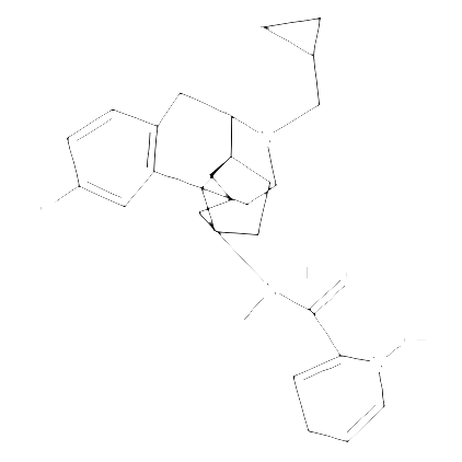 C[C@H]1CC23CCC(N(C)C(=O)C4=CCC=CN4C)C1C21CCN(CC2CC2)C3Cc2ccc(O)cc21